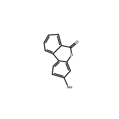 [NH]c1ccc2c(c1)oc(=O)c1ccccc12